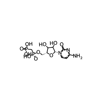 Nc1ccn([C@@H]2O[C@H](COP(=O)(O)CP(=O)(O)O)C(O)C2O)c(=O)n1